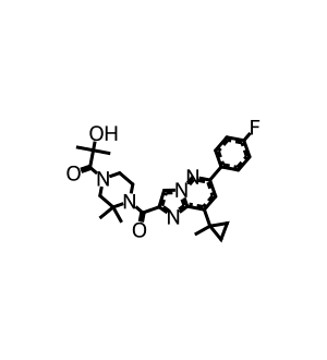 CC(C)(O)C(=O)N1CCN(C(=O)c2cn3nc(-c4ccc(F)cc4)cc(C4(C)CC4)c3n2)C(C)(C)C1